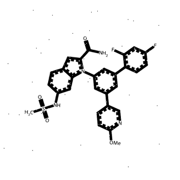 COc1ccc(-c2cc(-c3ccc(F)cc3F)cc(-n3c(C(N)=O)cc4ccc(NS(C)(=O)=O)cc43)c2)cn1